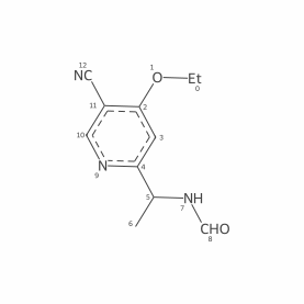 CCOc1cc(C(C)NC=O)ncc1C#N